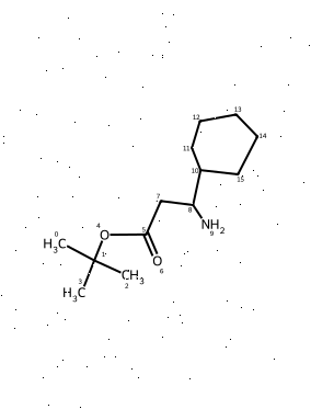 CC(C)(C)OC(=O)[CH]C(N)C1CCCCC1